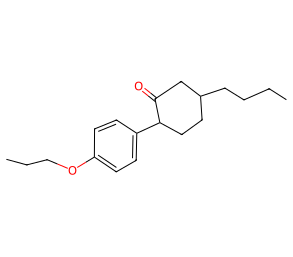 CCCCC1CCC(c2ccc(OCCC)cc2)C(=O)C1